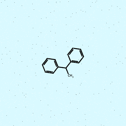 CC(c1c[c]ccc1)c1ccccc1